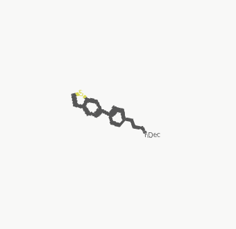 CCCCCCCCCCCCCc1ccc(-c2ccc3ccsc3c2)cc1